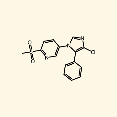 CS(=O)(=O)c1ccc(-n2cnc(Cl)c2-c2ccccc2)cn1